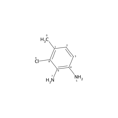 Cc1ccc(N)c(N)c1Cl